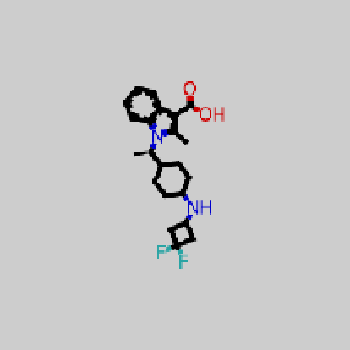 Cc1c(C(=O)O)c2ccccc2n1[C@H](C)C1CCC(NC2CC(F)(F)C2)CC1